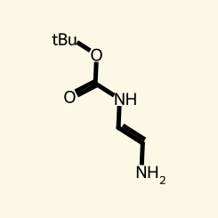 CC(C)(C)OC(=O)NC=CN